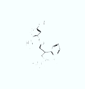 CN(CC(COc1cc(Cl)nnc1N)c1ccccc1)C(=O)O